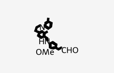 COc1cc(NCc2ccc3c(c2C)N(c2cccc(C)c2)CCC3)ccc1CCC=O